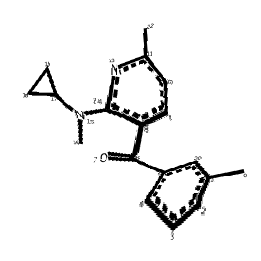 Cc1cccc(C(=O)c2ccc(C)nc2N(C)C2CC2)c1